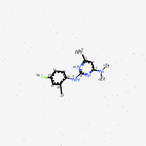 CCCc1cc(N(CC)CC)nc(Nc2ccc(F)cc2C)n1